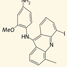 COc1cc(N)ccc1Nc1c2cccc(C)c2nc2c(I)cccc12